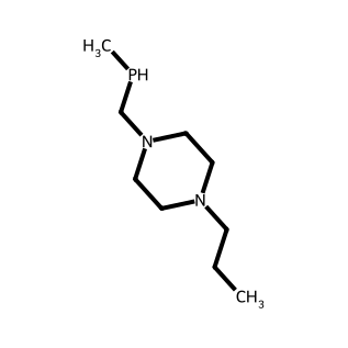 CCCN1CCN(CPC)CC1